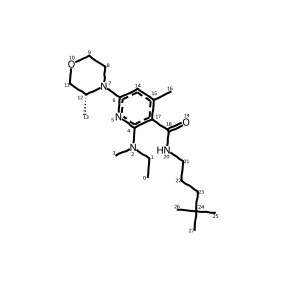 CCN(C)c1nc(N2CCOC[C@H]2C)cc(C)c1C(=O)NCCCC(C)(C)C